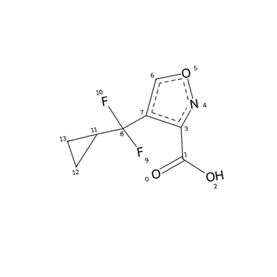 O=C(O)c1nocc1C(F)(F)C1CC1